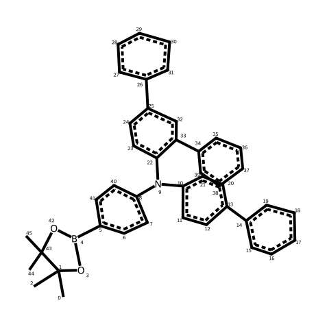 CC1(C)OB(c2ccc(N(c3ccc(-c4ccccc4)cc3)c3ccc(-c4ccccc4)cc3-c3ccccc3)cc2)OC1(C)C